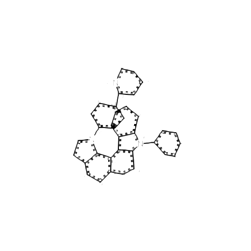 c1ccc(-n2c3ccccc3c3c4c(ccc5ccn(-c6ccc(-c7ccccn7)cc6)c54)ccc32)cc1